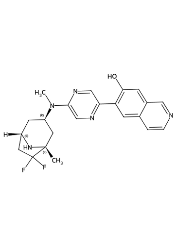 CN(c1cnc(-c2cc3ccncc3cc2O)cn1)[C@@H]1C[C@H]2CC(F)(F)[C@@](C)(C1)N2